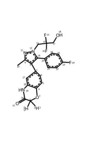 [2H]C1([2H])Oc2ccc(-c3c(C)nn(CC(F)(F)CO)c3-c3ccc(F)cc3)cc2NC1=O